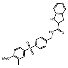 COc1ccc(S(=O)(=O)c2ccc(CNC(=O)C3Cc4cnccc4N3)cc2)cc1C